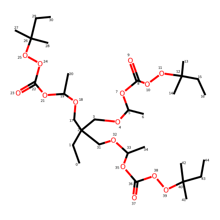 CCC(COC(C)OC(=O)OOC(C)(C)CC)(COC(C)OC(=O)OOC(C)(C)CC)COC(C)OC(=O)OOC(C)(C)CC